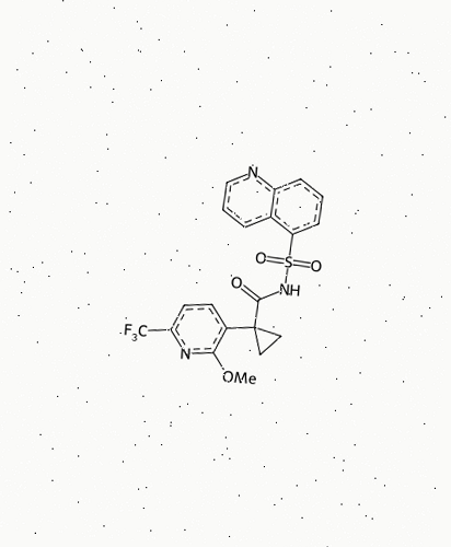 COc1nc(C(F)(F)F)ccc1C1(C(=O)NS(=O)(=O)c2cccc3ncccc23)CC1